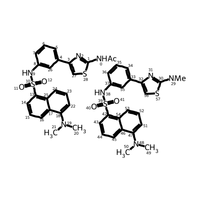 CC(=O)Nc1nc(-c2cccc(NS(=O)(=O)c3cccc4c(N(C)C)cccc34)c2)cs1.CNc1nc(-c2cccc(NS(=O)(=O)c3cccc4c(N(C)C)cccc34)c2)cs1